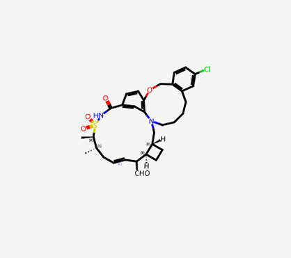 C[C@@H]1[C@@H](C)C/C=C/C(C=O)[C@@H]2CC[C@H]2CN2CCCCc3cc(Cl)ccc3COc3ccc(cc32)C(=O)NS1(=O)=O